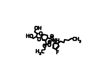 CCCCCCc1cc(F)ccc1NS(=O)(=O)C1CCC2(C=C1C(=O)OCC)OC(CO)C(CO)O2